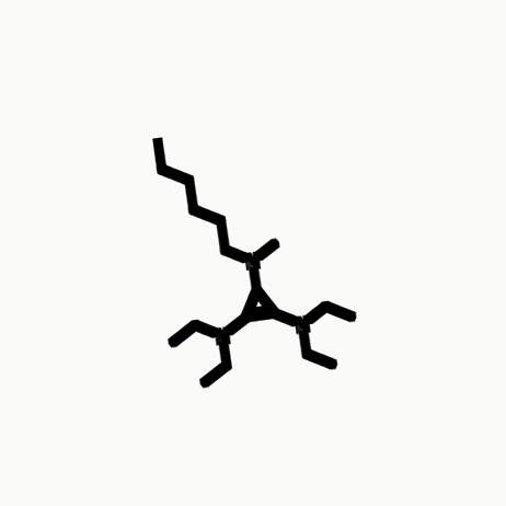 CCCCCCN(C)C1C(N(CC)CC)=C1N(CC)CC